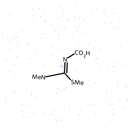 CN/C(=N/C(=O)O)SC